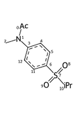 CC(=O)N(C)c1ccc(S(=O)(=O)C(C)C)cc1